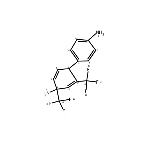 Nc1ccc(C2C=CC(N)(C(F)(F)F)C=C2C(F)(F)F)cc1